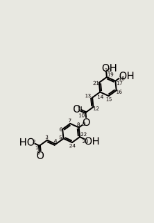 O=C(O)/C=C/c1ccc(OC(=O)/C=C/c2ccc(O)c(O)c2)c(O)c1